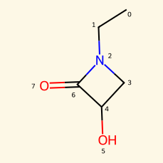 CCN1CC(O)C1=O